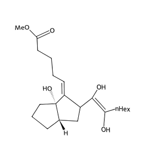 CCCCCCC(O)=C(O)C1C[C@@H]2CCC[C@@]2(O)C1=CCCCC(=O)OC